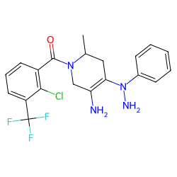 CC1CC(N(N)c2ccccc2)=C(N)CN1C(=O)c1cccc(C(F)(F)F)c1Cl